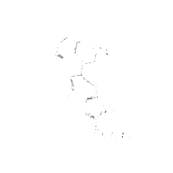 N#CCC(c1ccccc1)c1ccc2cc(C(=O)O)[nH]c2c1